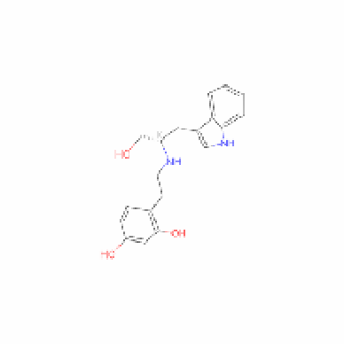 OC[C@H](Cc1c[nH]c2ccccc12)NCCc1ccc(O)cc1O